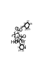 CC1(C)S[C@H]2N(C(=O)[C@]2(Br)C(O)c2cccnc2)[C@H]1C(=O)OCc1ccccc1